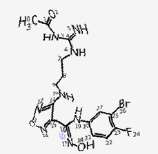 CC(=O)NC(=N)NCCCNc1nonc1/C(=N/O)Nc1ccc(F)c(Br)c1